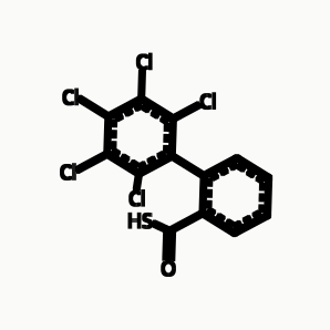 O=C(S)c1ccccc1-c1c(Cl)c(Cl)c(Cl)c(Cl)c1Cl